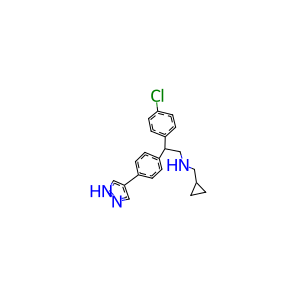 Clc1ccc(C(CNCC2CC2)c2ccc(-c3cn[nH]c3)cc2)cc1